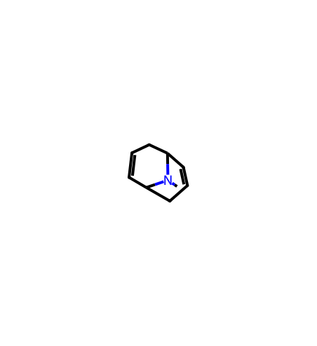 CN1C2C=CCC1C=CC2